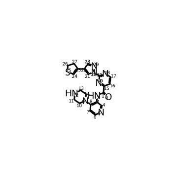 O=C(Nc1cnccc1N1CCNCC1)c1ccnc(-n2cc(C3=CSCC3)cn2)n1